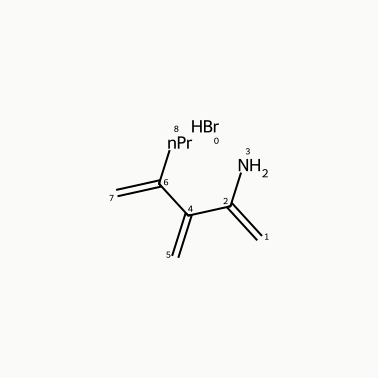 Br.C=C(N)C(=C)C(=C)CCC